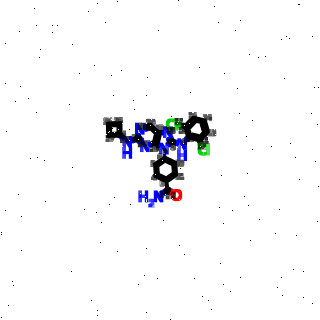 NC(=O)[C@H]1CC[C@H](n2c(Nc3c(Cl)cccc3Cl)nc3cnc(NC4CCC4)nc32)CC1